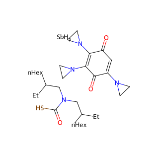 CCCCCCC(CC)CN(CC(CC)CCCCCC)C(=O)S.O=C1C=C(N2CC2)C(=O)C(N2CC2)=C1N1CC1.[SbH3]